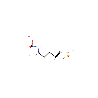 CC(C)(C)OC(=O)N[C@H](C#N)CC/C(O)=C/[SH](C)(C)=O